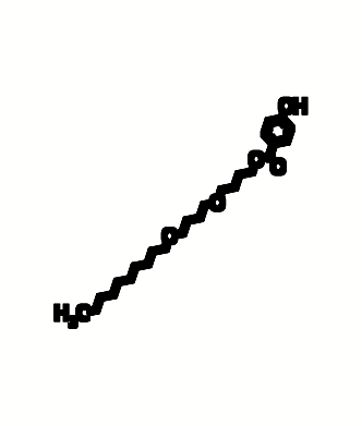 CCCCCCCCCCOCCCCOCCCCOC(=O)c1ccc(O)cc1